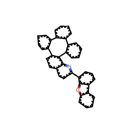 c1ccc2c(c1)-c1ccccc1-c1ccc3ccc(-c4cccc5c4oc4ccccc45)nc3c1-c1ccccc1-2